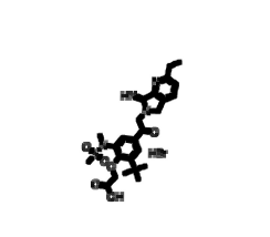 Br.CCc1ccc2c(n1)C(=N)N(CC(=O)c1cc(N(C)S(C)(=O)=O)c(OCC(=O)O)c(C(C)(C)C)c1)C2